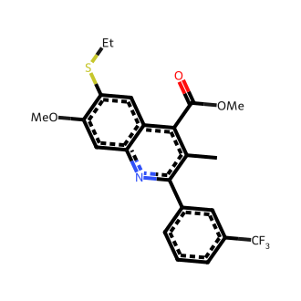 CCSc1cc2c(C(=O)OC)c(C)c(-c3cccc(C(F)(F)F)c3)nc2cc1OC